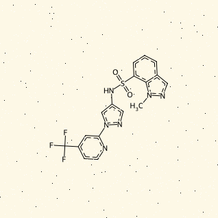 Cn1ncc2cccc(S(=O)(=O)Nc3cnn(-c4cc(C(F)(F)F)ccn4)c3)c21